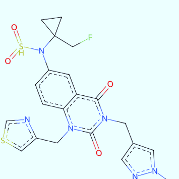 Cn1cc(Cn2c(=O)c3cc(N([SH](=O)=O)C4(CF)CC4)ccc3n(Cc3cscn3)c2=O)cn1